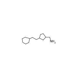 NCC1CCC(CCC2CCCCC2)C1